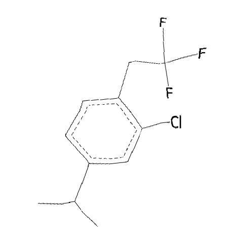 CC(C)c1ccc(CC(F)(F)F)c(Cl)c1